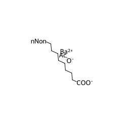 CC(=O)[O-].CCCCCCCCCCCCCCCCCC(=O)[O-].[Ba+2]